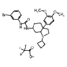 COc1ccc(C23CCC(NC(=O)Nc4cccc(Br)c4)CC2N(C2CCC2)CC3)cc1OC.O=C(O)C(F)(F)F